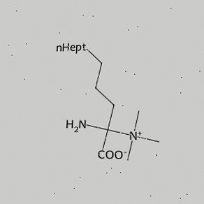 CCCCCCCCCCC(N)(C(=O)[O-])[N+](C)(C)C